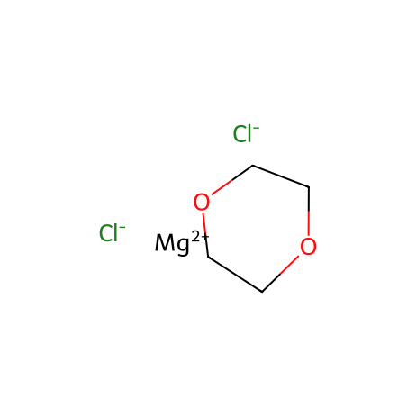 C1COCCO1.[Cl-].[Cl-].[Mg+2]